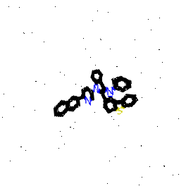 c1ccc(-n2c3c(ccc4sc5ccccc5c43)c3c2c2ccccc2n3-c2ccc(-c3ccc4ccccc4c3)nc2)cc1